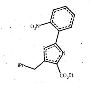 CCOC(=O)c1nc(-c2ccccc2[N+](=O)[O-])sc1CC(C)C